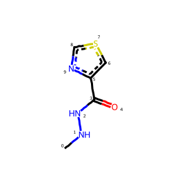 CNNC(=O)c1cscn1